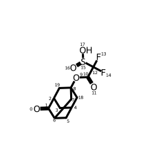 O=C1C2CC3CC1CC(OC(=O)C(F)(F)S(=O)O)(C3)C2